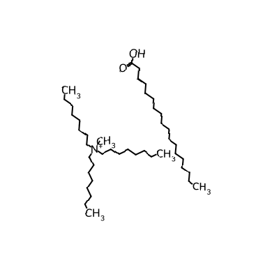 CCCCCCCCCCCCCCCCCC(=O)O.CCCCCCCC[N+](C)(CCCCCCCC)CCCCCCCC